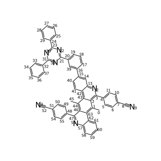 Cc1c2c(-c3ccc(C#N)cc3)nc3cc(-c4cccc(-c5nc(-c6ccccc6)nc(-c6ccccc6)n5)c4)ccc3c2c(C)c2c(-c3ccc(C#N)cc3)nc3ccccc3c12